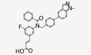 Cn1ncc2cc(-c3ccc(CN(C(=O)c4ccccc4)c4cc(F)cc(/C=C/C(=O)O)c4)cc3)ccc21